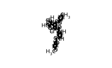 COc1ccc2cc(C(=O)Nc3ccc4[nH]c(C(=O)N5C[C@@H](CCl)c6c5cc(OC(=O)N5CCN(C)CC5)c5[nH]c(C(F)(F)F)c(C(=O)O)c65)cc4c3)oc2c1